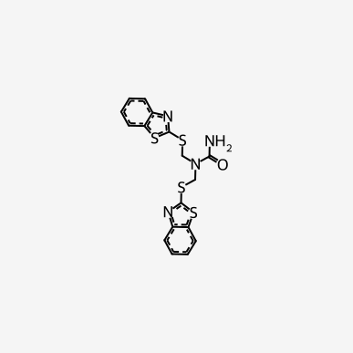 NC(=O)N(CSc1nc2ccccc2s1)CSc1nc2ccccc2s1